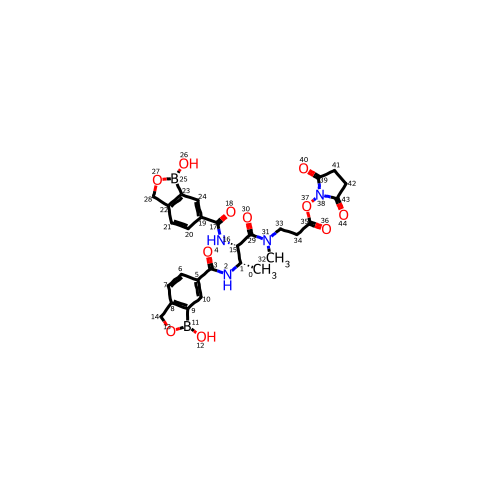 C[C@H](NC(=O)c1ccc2c(c1)B(O)OC2)[C@H](NC(=O)c1ccc2c(c1)B(O)OC2)C(=O)N(C)CCC(=O)ON1C(=O)CCC1=O